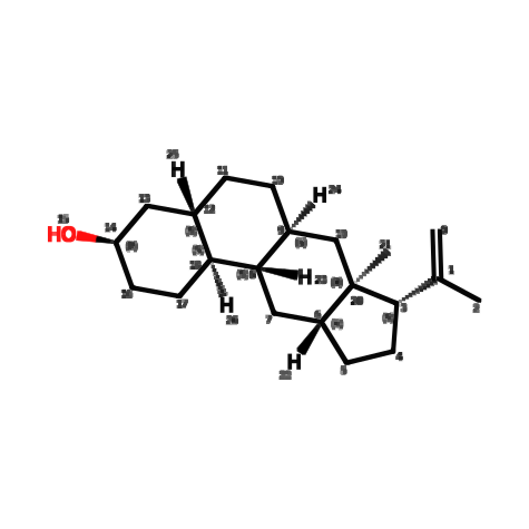 C=C(C)[C@@H]1CC[C@@H]2C[C@H]3[C@@H](CC[C@H]4C[C@H](O)CC[C@@H]43)C[C@]21C